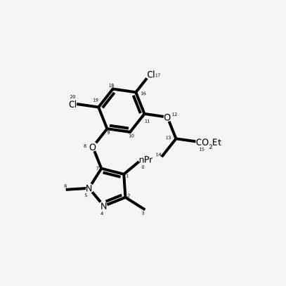 CCCc1c(C)nn(C)c1Oc1cc(OC(C)C(=O)OCC)c(Cl)cc1Cl